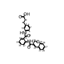 O=C(O)CCc1cccc(NC(=O)c2ccccc2NC(=O)C2=Cc3ccccc3OC2)c1